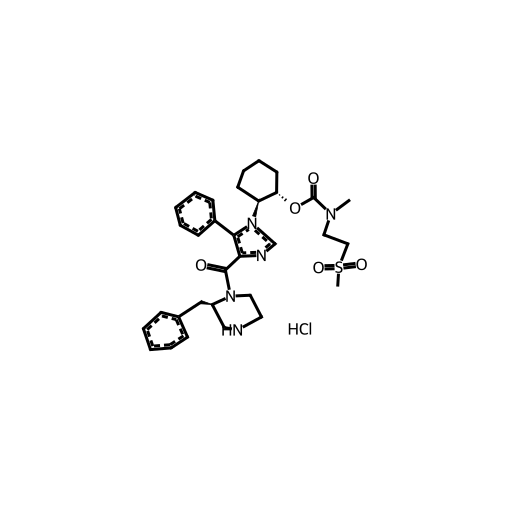 CN(CCS(C)(=O)=O)C(=O)O[C@H]1CCCC[C@@H]1n1cnc(C(=O)N2CCNC[C@H]2Cc2ccccc2)c1-c1ccccc1.Cl